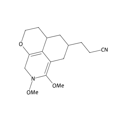 COC1=C2CC(CCC#N)CC3CCOC(=C23)CN1OC